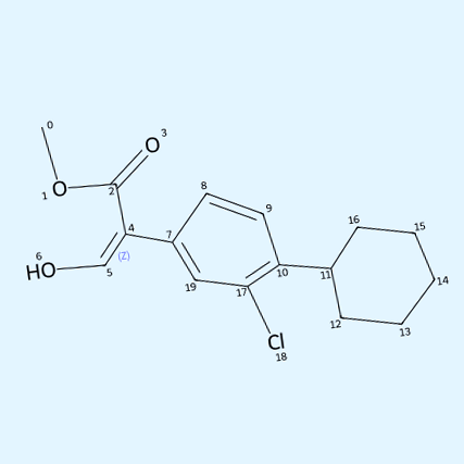 COC(=O)/C(=C\O)c1ccc(C2CCCCC2)c(Cl)c1